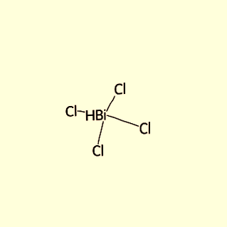 [Cl][BiH]([Cl])([Cl])[Cl]